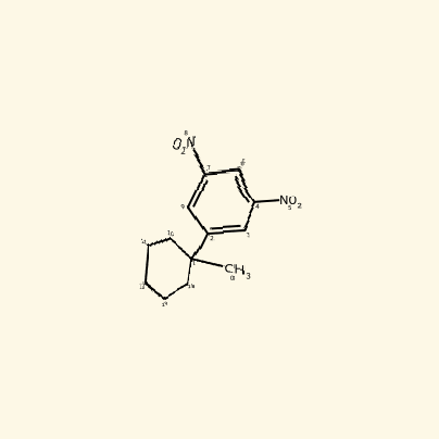 CC1(c2cc([N+](=O)[O-])cc([N+](=O)[O-])c2)CCCCC1